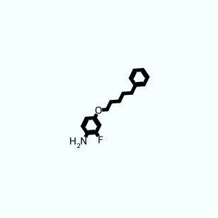 Nc1ccc(OCCCCCc2ccccc2)cc1F